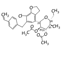 C=Cc1ccc(Cc2cc([C@@H]3O[C@H](CC)[C@@H](C)[C@H](OC(C)=O)[C@H]3OC(C)=O)c3c(c2Cl)OCC3)cc1